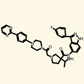 CC(O)C1(C(=O)Nc2ccc3[nH]nc(-c4ccc(F)cc4)c3c2)CCN(CC(=O)N2CCN(c3ccc(-c4ncccn4)cc3)CC2)C1